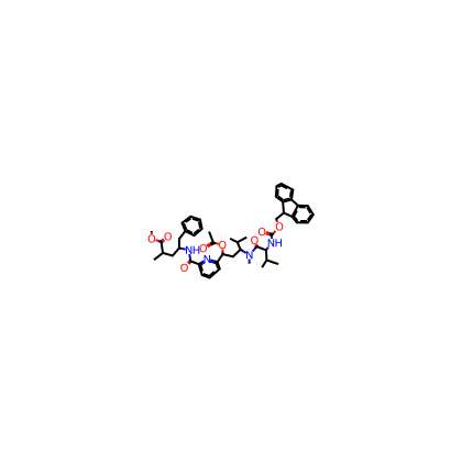 COC(=O)C(C)CC(Cc1ccccc1)NC(=O)c1cccc(C(CC(C(C)C)N(C)C(=O)C(NC(=O)OCC2c3ccccc3-c3ccccc32)C(C)C)OC(C)=O)n1